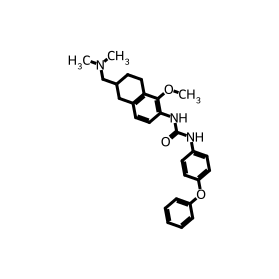 COc1c(NC(=O)Nc2ccc(Oc3ccccc3)cc2)ccc2c1CCC(CN(C)C)C2